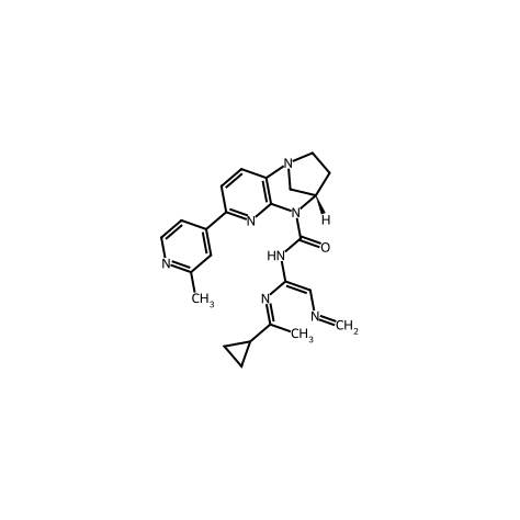 C=N/C=C(\N=C(/C)C1CC1)NC(=O)N1c2nc(-c3ccnc(C)c3)ccc2N2CC[C@H]1C2